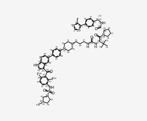 Cc1ncsc1-c1ccc([C@H](C)NC(=O)[C@@H]2CCCN2C(=O)[C@@H](NC(=O)NCCCN2CCN(c3ccc(-c4cnc5[nH]cc(C(=O)c6c(F)ccc(NS(=O)(=O)N7CC[C@@H](F)C7)c6F)c5c4)cc3)CC2)C(C)(C)C)cc1